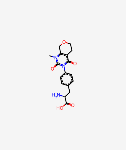 Cn1c2c(c(=O)n(-c3ccc(C[C@H](N)C(=O)O)cc3)c1=O)CCOC2